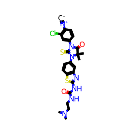 [C-]#[N+]c1ccc(N2C(=O)C(C)(C)N(c3ccc4sc(NC(=O)NCCN(C)C)nc4c3)C2=S)cc1Cl